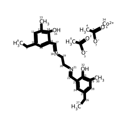 CC(=O)[O-].CC(=O)[O-].CCc1cc(C)c(O)c(C=NCCN=Cc2cc(CC)cc(C)c2O)c1.[Co+2]